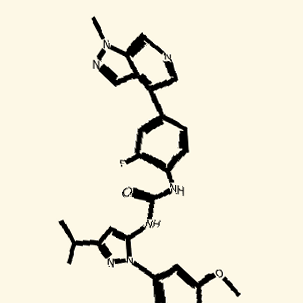 COc1cccc(-n2nc(C(C)C)cc2NC(=O)Nc2ccc(-c3cncc4c3cnn4C)cc2F)c1